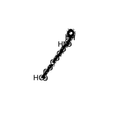 O=C(O)CCOCCOCCOCCOCCOCCOCCNC(=O)OCC1[C@H]2CCC#CCC[C@@H]12